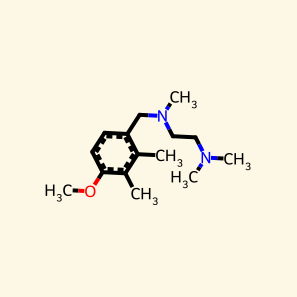 COc1ccc(CN(C)CCN(C)C)c(C)c1C